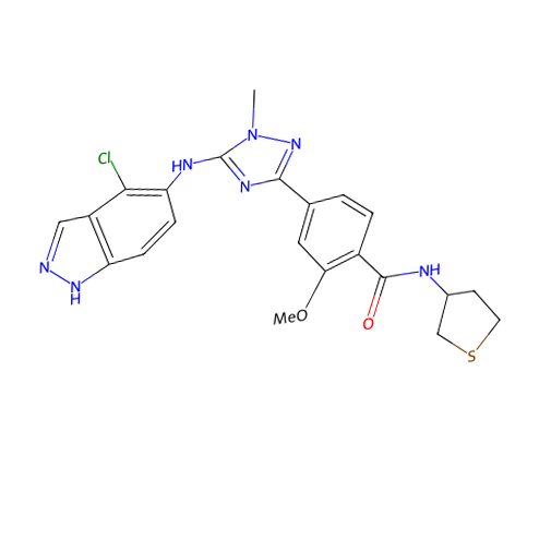 COc1cc(-c2nc(Nc3ccc4[nH]ncc4c3Cl)n(C)n2)ccc1C(=O)NC1CCSC1